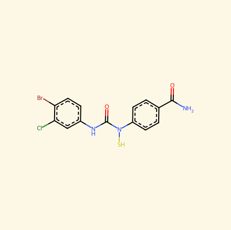 NC(=O)c1ccc(N(S)C(=O)Nc2ccc(Br)c(Cl)c2)cc1